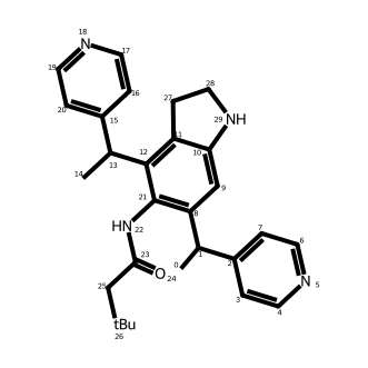 CC(c1ccncc1)c1cc2c(c(C(C)c3ccncc3)c1NC(=O)CC(C)(C)C)CCN2